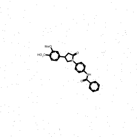 COc1cc(C2CC(=O)N(c3ccc(NC(=O)c4ccccc4)cc3)C2)ccc1C(=O)O